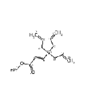 C=CC[Si](C=CC(=O)OCCC)(CC=C)CC=C